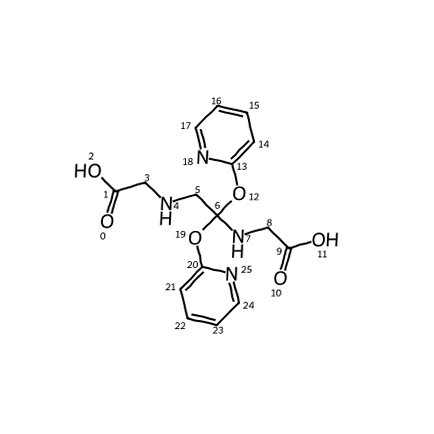 O=C(O)CNCC(NCC(=O)O)(Oc1ccccn1)Oc1ccccn1